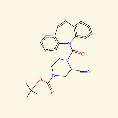 CC(C)(C)OC(=O)N1CCN(C(=O)N2c3ccccc3C=Cc3ccccc32)[C@H](C#N)C1